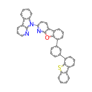 c1cc(-c2cccc3c2oc2nc(-n4c5ccccc5c5cccnc54)ccc23)cc(-c2cccc3c2sc2ccccc23)c1